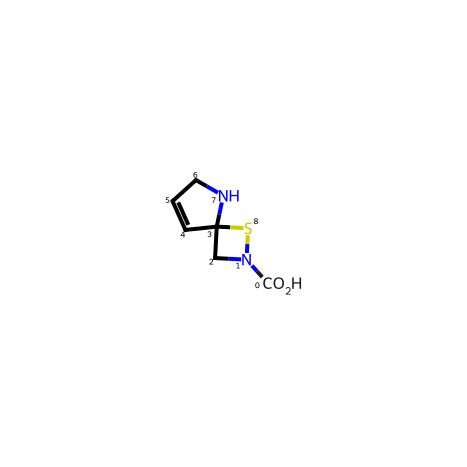 O=C(O)N1CC2(C=CCN2)S1